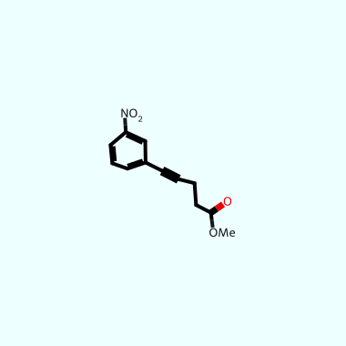 COC(=O)CCC#Cc1cccc([N+](=O)[O-])c1